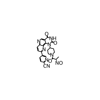 C[C@@H](N=O)C(=O)N1CCC(n2c(=O)[nH]c(=O)c3cnc4ccc(-c5ccc(C#N)nc5)nc4c32)CC1